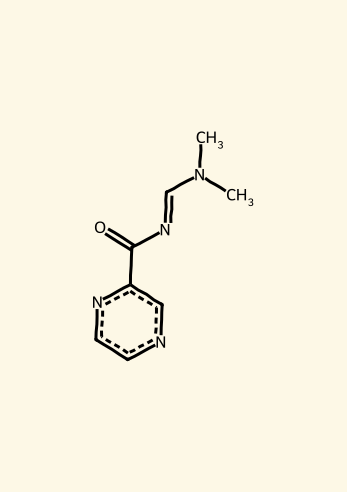 CN(C)C=NC(=O)c1cnccn1